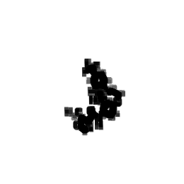 Cc1ocnc1C(=O)Nc1ccc2c(c1)S(O)(O)N(c1ccc(C(F)(F)F)cc1)CCO2